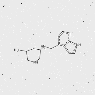 CC1[CH]C(NCc2cccc3[nH]ccc23)CNC1